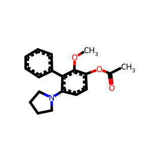 COc1c(OC(C)=O)ccc(N2CCCC2)c1-c1ccccc1